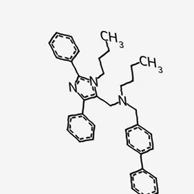 CCCCN(Cc1ccc(-c2ccccc2)cc1)Cc1c(-c2ccccc2)nc(-c2ccccc2)n1CCCC